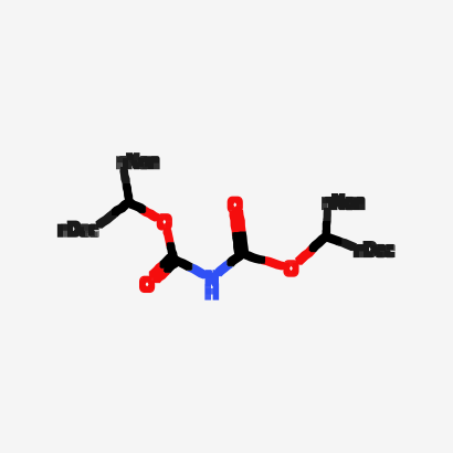 CCCCCCCCCCC(CCCCCCCCC)OC(=O)NC(=O)OC(CCCCCCCCC)CCCCCCCCCC